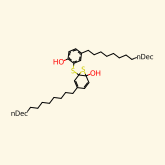 CCCCCCCCCCCCCCCCCCC1=CC2(Sc3cc(CCCCCCCCCCCCCCCCCC)ccc3O)SC2(O)C=C1